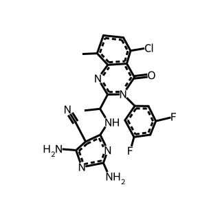 Cc1ccc(Cl)c2c(=O)n(-c3cc(F)cc(F)c3)c(C(C)Nc3nc(N)nc(N)c3C#N)nc12